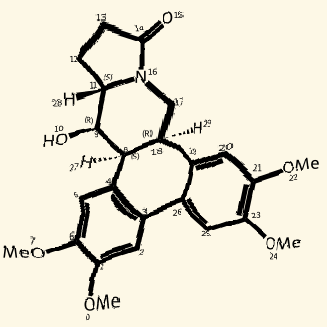 COc1cc2c(cc1OC)[C@H]1[C@@H](O)[C@@H]3CCC(=O)N3C[C@H]1c1cc(OC)c(OC)cc1-2